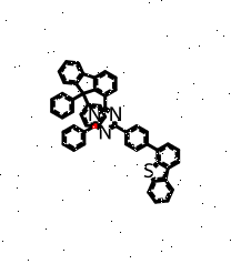 c1ccc(-c2nc(-c3ccc(-c4cccc5c4sc4ccccc45)cc3)nc(-c3cccc4c3C(c3ccccc3)(c3ccccc3)c3ccccc3-4)n2)cc1